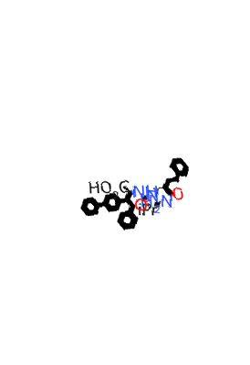 CC(C)CN(C[C@H](CCc1ccccc1)C(N)=O)C(=O)N[C@H](C(=O)O)C(Cc1ccccc1)c1ccc(-c2ccccc2)cc1